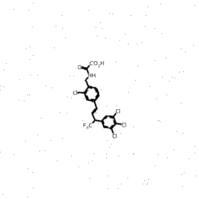 O=C(O)C(=O)NCc1ccc(/C=C/C(c2cc(Cl)c(Cl)c(Cl)c2)C(F)(F)F)cc1Cl